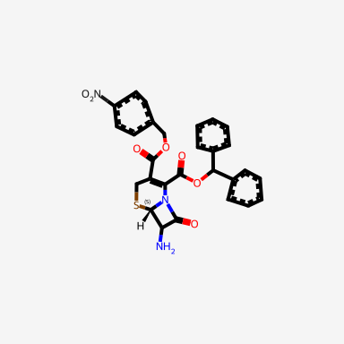 NC1C(=O)N2C(C(=O)OC(c3ccccc3)c3ccccc3)=C(C(=O)OCc3ccc([N+](=O)[O-])cc3)CS[C@@H]12